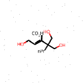 CCCC(CO)(CO)C(=CCO)C(=O)O